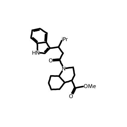 COC(=O)C1CCN(C(=O)CC(c2c[nH]c3ccccc23)C(C)C)C2CCCCC12